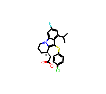 CC(C)c1cc(F)cc2c1c(Sc1ccc(Cl)cc1)c1n2CCC[C@@H]1CC(=O)O